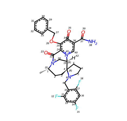 C[C@H]1CC[C@]2(CCCN2Cc2c(F)cc(F)cc2F)[C@H]2CN1C(=O)c1c(OCc3ccccc3)c(=O)c(C(N)=O)cn12